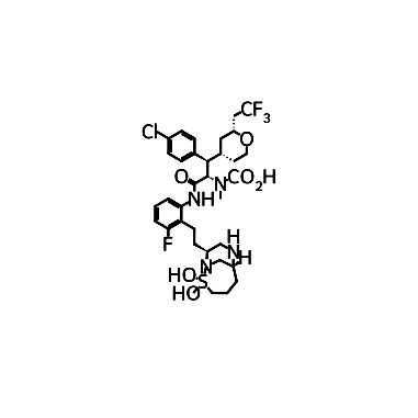 CN(C(=O)O)[C@H](C(=O)Nc1cccc(F)c1CC[C@H]1CN[C@@H]2CCCS(O)(O)N1C2)[C@@H](c1ccc(Cl)cc1)[C@H]1CCO[C@@H](CC(F)(F)F)C1